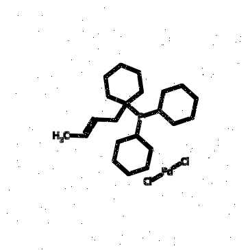 CC=CCC1(P(C2CCCCC2)C2CCCCC2)CCCCC1.[Cl][Pd][Cl]